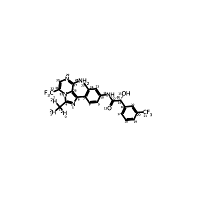 [2H]C([2H])([2H])c1nc(-c2ccc(NC(=O)[C@H](O)c3cccc(C(F)(F)F)c3)cc2C)c2c(N)ncc(C(F)(F)F)n12